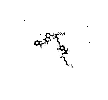 CCC1(c2ccc(OCCCc3sc(N4CCCc5c4nnc(Nc4nc6ccccc6[nH]4)c5C)nc3C(=O)O)c(F)c2)CC1CN(C)CCCCN